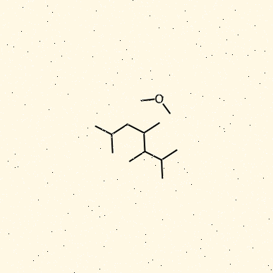 CC(C)CC(C)C(C)C(C)C.COC